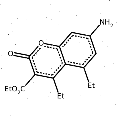 CCOC(=O)c1c(CC)c2c(CC)cc(N)cc2oc1=O